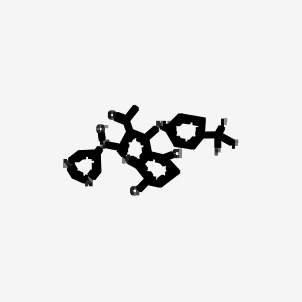 CC(=O)c1c([S+]([O-])c2cncnc2)nc2c(Cl)ccc(Cl)c2c1Nc1ccc(C(F)(F)F)cc1